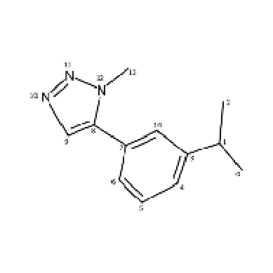 CC(C)c1cccc(-c2cnnn2C)c1